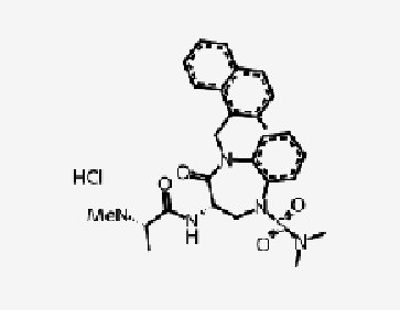 CN[C@@H](C)C(=O)N[C@H]1CN(S(=O)(=O)N(C)C)c2ccccc2N(Cc2c(C)ccc3ccccc23)C1=O.Cl